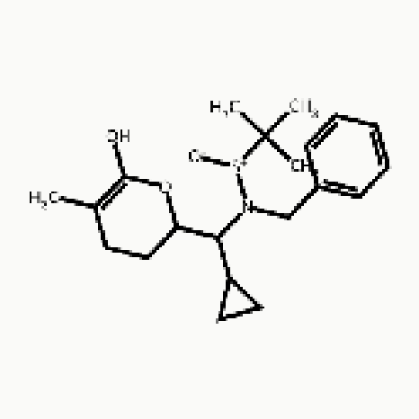 CC1=C(O)OC(C(C2CC2)N(Cc2ccccc2)[S+]([O-])C(C)(C)C)CC1